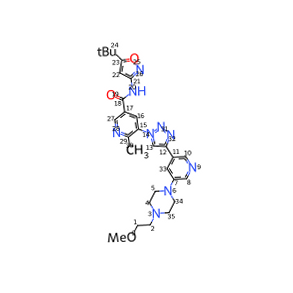 COCCN1CCN(c2cncc(-c3cn(-c4cc(C(=O)Nc5cc(C(C)(C)C)on5)cnc4C)nn3)c2)CC1